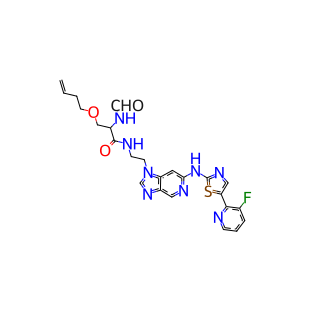 C=CCCOCC(NC=O)C(=O)NCCn1cnc2cnc(Nc3ncc(-c4ncccc4F)s3)cc21